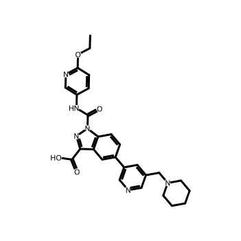 CCOc1ccc(NC(=O)n2nc(C(=O)O)c3cc(-c4cncc(CN5CCCCC5)c4)ccc32)cn1